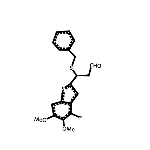 COc1cc2sc([C@H](CC=O)SCc3ccccc3)cc2c(F)c1OC